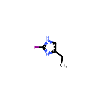 CCc1c[nH]c(I)n1